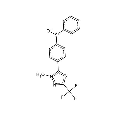 Cn1nc(C(F)(F)F)nc1-c1ccc([S+]([O-])c2ccccc2)cc1